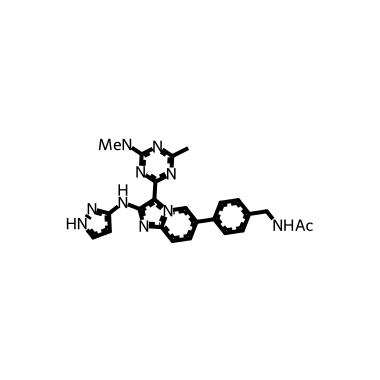 CNc1nc(C)nc(-c2c(Nc3cc[nH]n3)nc3ccc(-c4ccc(CNC(C)=O)cc4)cn23)n1